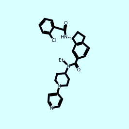 CCN(C(=O)c1ccc2c(c1)[C@H](NC(=O)c1ccccc1Cl)CC2)C1CCN(c2ccncc2)CC1